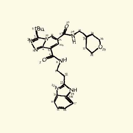 CC(C)(C)c1nnc2c(C(=O)NCCc3nc4ccccc4[nH]3)cc(C(=O)NCC3CCOCC3)cn12